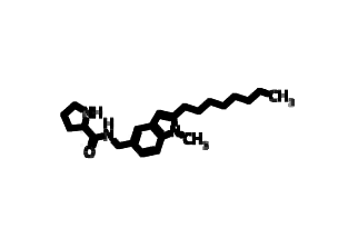 CCCCCCCCc1cc2cc(CNC(=O)C3CCCN3)ccc2n1C